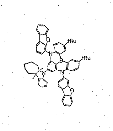 CC(C)(C)c1ccc2c(c1)B1c3cc(C(C)(C)C)ccc3N(c3cccc4c3oc3ccccc34)c3cc(N4c5ccccc5C5(C)CCCCCC45C)cc(c31)N2c1ccc2c(c1)oc1ccccc12